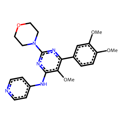 COc1ccc(-c2nc(N3CCOCC3)nc(Nc3ccncc3)c2OC)cc1OC